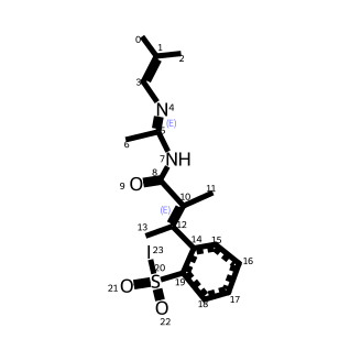 CC(C)=C/N=C(\C)NC(=O)/C(C)=C(\C)c1ccccc1S(=O)(=O)I